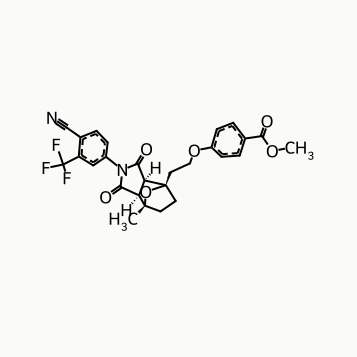 COC(=O)c1ccc(OCC[C@@]23CC[C@@](C)(O2)[C@H]2C(=O)N(c4ccc(C#N)c(C(F)(F)F)c4)C(=O)[C@H]23)cc1